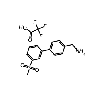 CS(=O)(=O)c1cccc(-c2ccc(CN)cc2)c1.O=C(O)C(F)(F)F